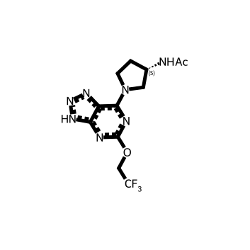 CC(=O)N[C@H]1CCN(c2nc(OCC(F)(F)F)nc3[nH]nnc23)C1